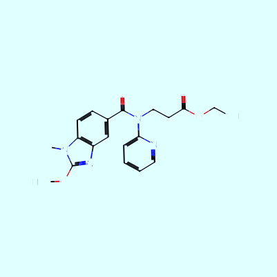 CCOC(=O)CCN(C(=O)c1ccc2c(c1)nc(OC)n2C)c1ccccn1